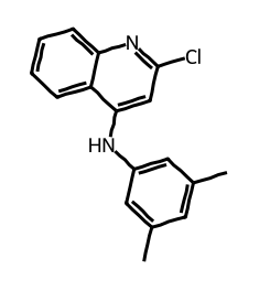 Cc1cc(C)cc(Nc2cc(Cl)nc3ccccc23)c1